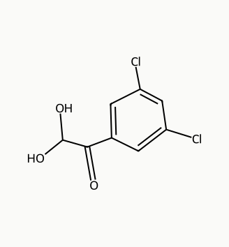 O=C(c1cc(Cl)cc(Cl)c1)C(O)O